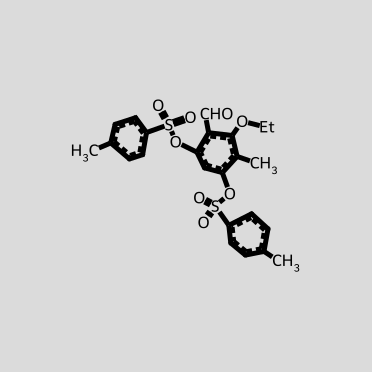 CCOc1c(C)c(OS(=O)(=O)c2ccc(C)cc2)cc(OS(=O)(=O)c2ccc(C)cc2)c1C=O